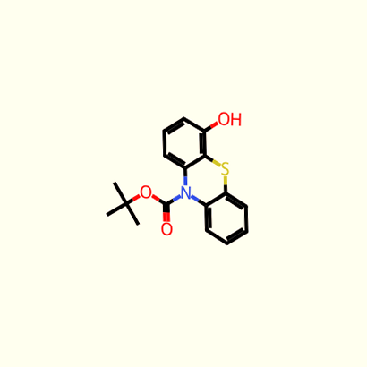 CC(C)(C)OC(=O)N1c2ccccc2Sc2c(O)cccc21